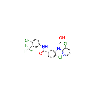 O=C(Nc1ccc(Cl)c(C(F)(F)F)c1)c1ccc(Cl)c(N(CCO)c2ncccc2Cl)c1